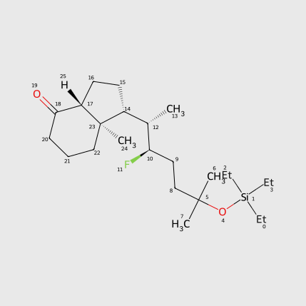 CC[Si](CC)(CC)OC(C)(C)CC[C@@H](F)[C@@H](C)[C@H]1CC[C@H]2C(=O)CCC[C@]12C